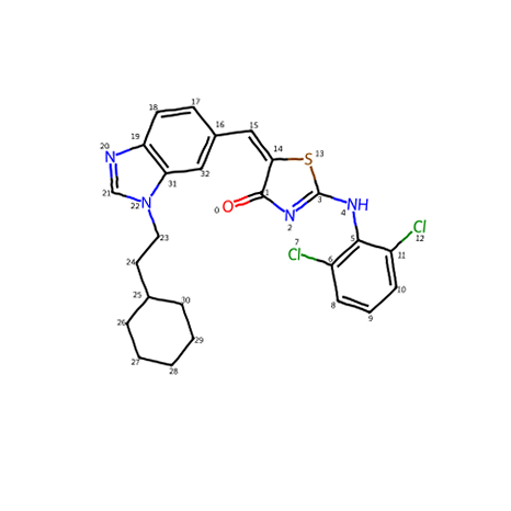 O=C1N=C(Nc2c(Cl)cccc2Cl)SC1=Cc1ccc2ncn(CCC3CCCCC3)c2c1